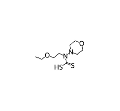 CCOCCN(C(=S)S)N1CCOCC1